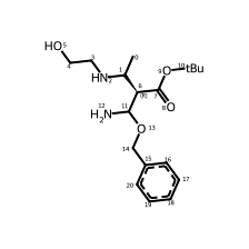 CC(NCCO)[C@@H](C(=O)OC(C)(C)C)C(N)OCc1ccccc1